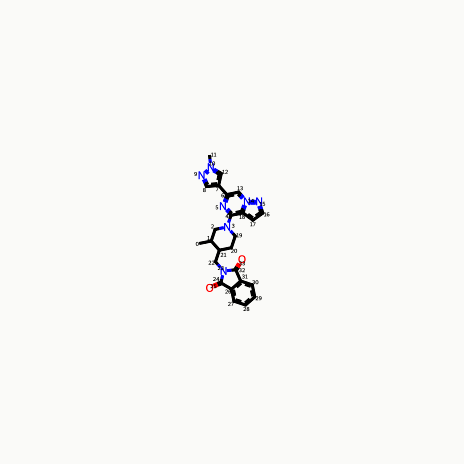 CC1CN(c2nc(-c3cnn(C)c3)cn3nccc23)CCC1CN1C(=O)c2ccccc2C1=O